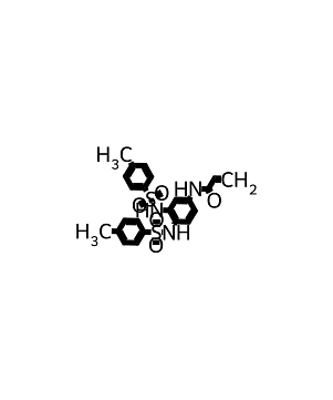 C=CC(=O)Nc1ccc(NS(=O)(=O)c2ccc(C)cc2)c(NS(=O)(=O)c2ccc(C)cc2)c1